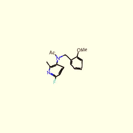 COc1ccccc1CN(C(C)=O)c1ccc(F)nc1C